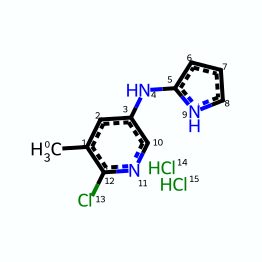 Cc1cc(Nc2ccc[nH]2)cnc1Cl.Cl.Cl